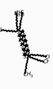 CCCCCCCCCCCCc1sc(-c2ccsc2-c2ccsc2-c2ccsc2-c2ccsc2-c2ccsc2-c2ccsc2-c2ccsc2-c2ccsc2-c2ccsc2-c2ccsc2-c2sc(CCCCCCCCCCCC)c(CCCCCCCCCCCC)c2CCCCCCCCCCCC)c(CCCCCCCCCCCC)c1CCCCCCCCCCCC